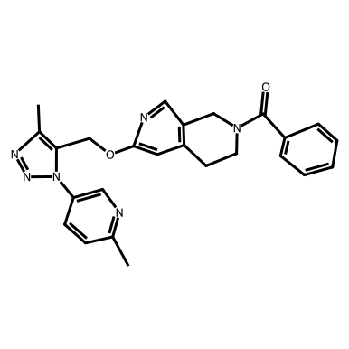 Cc1ccc(-n2nnc(C)c2COc2cc3c(cn2)CN(C(=O)c2ccccc2)CC3)cn1